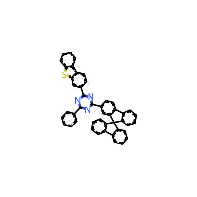 c1ccc(-c2nc(-c3ccc4c(c3)C3(c5ccccc5-c5ccccc53)c3ccccc3-4)nc(-c3ccc4c(c3)sc3ccccc34)n2)cc1